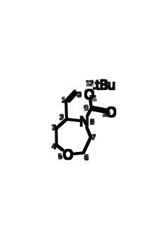 C=CC1CCOCCN1C(=O)OC(C)(C)C